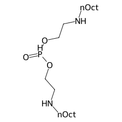 CCCCCCCCNCCO[PH](=O)OCCNCCCCCCCC